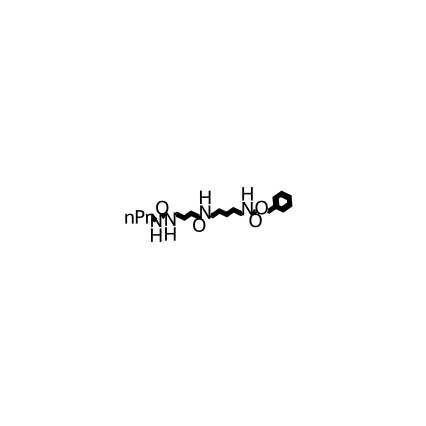 CCCNC(=O)NCCCC(=O)NCCCCCNC(=O)OCc1ccccc1